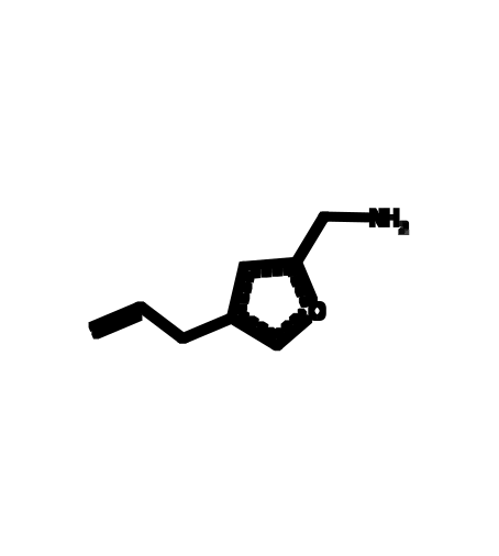 C=CCc1coc(CN)c1